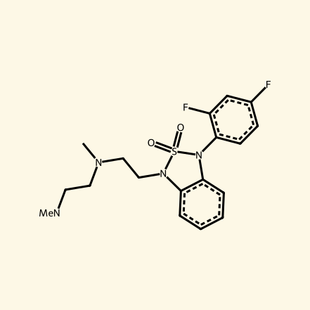 CNCCN(C)CCN1c2ccccc2N(c2ccc(F)cc2F)S1(=O)=O